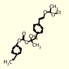 C=Cc1ccc(OC(=O)OC(C)(C)Cc2ccc(C=COC(C)OCC)cc2)cc1